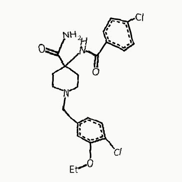 CCOc1cc(CN2CCC(NC(=O)c3ccc(Cl)cc3)(C(N)=O)CC2)ccc1Cl